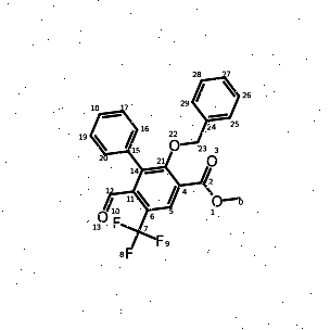 COC(=O)c1cc(C(F)(F)F)c(C=O)c(-c2ccccc2)c1OCc1ccccc1